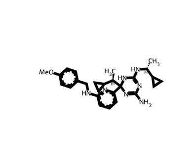 COc1ccc(CNc2cccc(C3([C@H](C)C4CC4)N=C(N)N=C(N[C@H](C)C4CC4)N3)n2)cc1